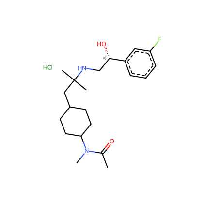 CC(=O)N(C)C1CCC(CC(C)(C)NC[C@H](O)c2cccc(F)c2)CC1.Cl